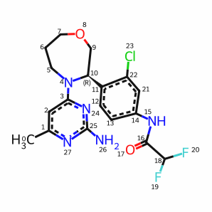 Cc1cc(N2CCCOC[C@H]2c2ccc(NC(=O)C(F)F)cc2Cl)nc(N)n1